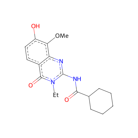 CCn1c(NC(=O)C2CCCCC2)nc2c(OC)c(O)ccc2c1=O